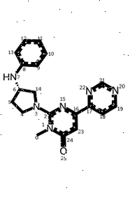 Cn1c(N2CC[C@H](Nc3ccccc3)C2)nc(-c2ccncn2)cc1=O